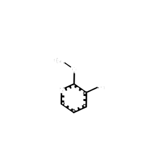 CC(C)c1cccnc1OC(C)(C)C